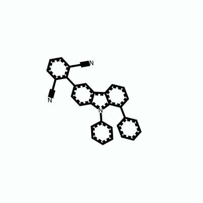 N#Cc1cccc(C#N)c1-c1ccc2c(c1)c1cccc(-c3ccccc3)c1n2-c1ccccc1